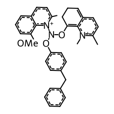 COc1cccc2ccc(C)[n+](N(OC3=c4c(ccc(C)[n+]4C)=CCC3)Oc3ccc(Cc4ccccc4)cc3)c12